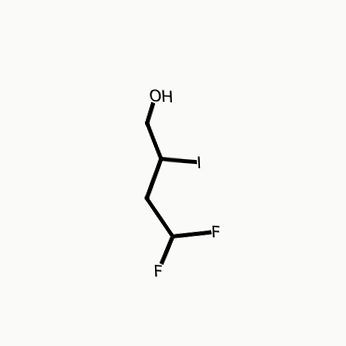 OCC(I)CC(F)F